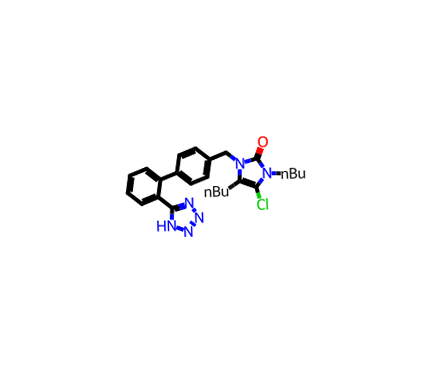 CCCCc1c(Cl)n(CCCC)c(=O)n1Cc1ccc(-c2ccccc2-c2nnn[nH]2)cc1